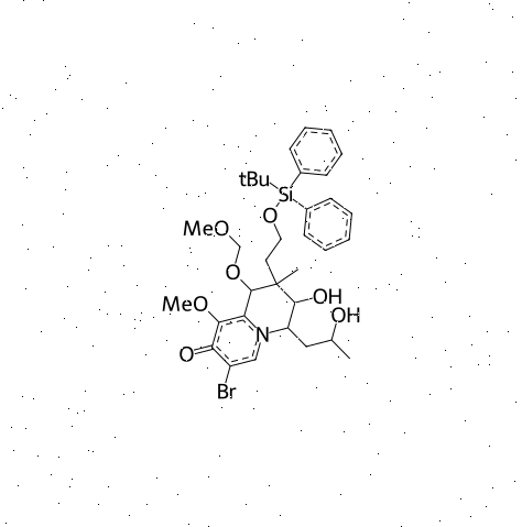 COCOC1c2c(OC)c(=O)c(Br)cn2C(CC(C)O)C(O)C1(C)CCO[Si](c1ccccc1)(c1ccccc1)C(C)(C)C